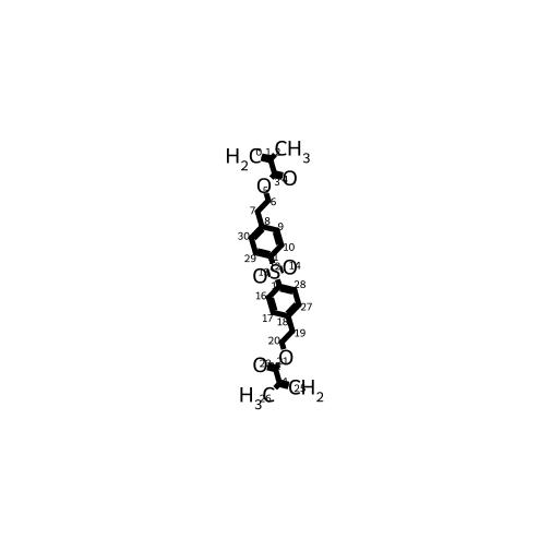 C=C(C)C(=O)OCCc1ccc(S(=O)(=O)c2ccc(CCOC(=O)C(=C)C)cc2)cc1